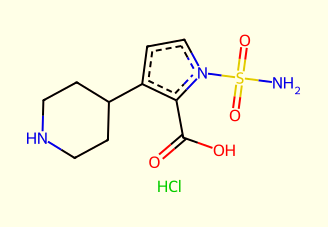 Cl.NS(=O)(=O)n1ccc(C2CCNCC2)c1C(=O)O